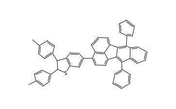 Cc1ccc(C2Sc3cc(-c4ccc5c6c(cccc46)-c4c-5c(-c5ccccc5)c5ccccc5c4-c4ccccc4)ccc3C2c2ccc(C)cc2)cc1